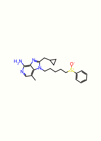 Cc1cnc(N)c2nc(CC3CC3)n(CCCCC[S+]([O-])c3ccccc3)c12